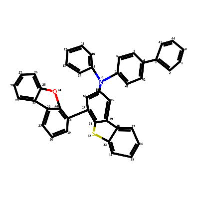 c1ccc(-c2ccc(N(c3ccccc3)c3cc(-c4cccc5c4oc4ccccc45)c4sc5ccccc5c4c3)cc2)cc1